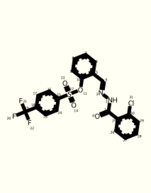 O=C(NN=Cc1ccccc1OS(=O)(=O)c1ccc(C(F)(F)F)cc1)c1ccccc1Cl